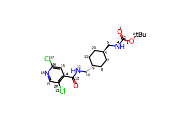 CC(C)(C)OC(=O)NC[C@H]1CC[C@H](CNC(=O)c2cc(Cl)ncc2Cl)CC1